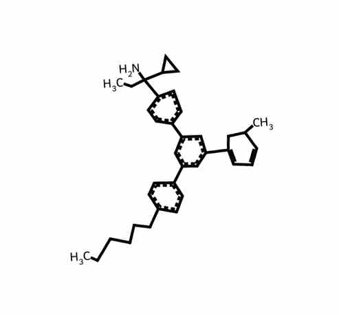 CCCCCCc1ccc(-c2cc(C3=CC=CC(C)C3)cc(-c3ccc(C(N)(CC)C4CC4)cc3)c2)cc1